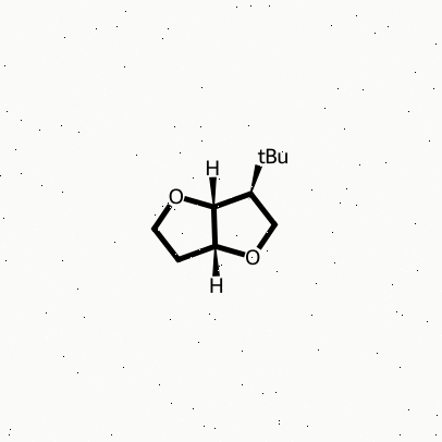 CC(C)(C)[C@H]1CO[C@@H]2CCO[C@@H]21